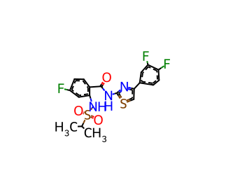 CC(C)S(=O)(=O)Nc1cc(F)ccc1C(=O)Nc1nc(-c2ccc(F)c(F)c2)cs1